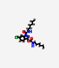 CCCCCCNC(=O)Oc1nn(C(=O)NCCCCCC)c2cc(Cl)ccc12